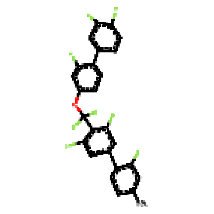 CCCCc1ccc(-c2cc(F)c(C(F)(F)Oc3ccc(-c4ccc(F)c(F)c4)c(F)c3)c(F)c2)c(F)c1